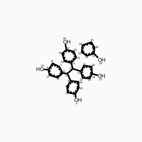 Oc1ccc(C(c2ccc(O)cc2)C(c2ccc(O)cc2)c2ccc(O)cc2)cc1.Oc1ccccc1